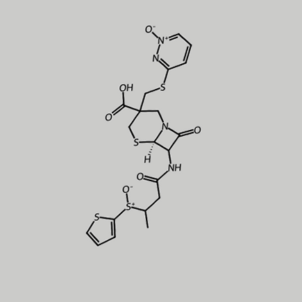 CC(CC(=O)NC1C(=O)N2CC(CSc3ccc[n+]([O-])n3)(C(=O)O)CS[C@H]12)[S+]([O-])c1cccs1